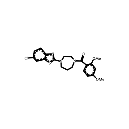 COc1ccc(C(=O)N2CCCN(c3nc4ccc(Cl)cc4s3)CC2)c(OC)c1